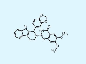 COc1cc2nc(N3CCc4c([nH]c5ccccc45)C3c3ccc4c(c3)OCO4)[nH]c(=O)c2cc1OC